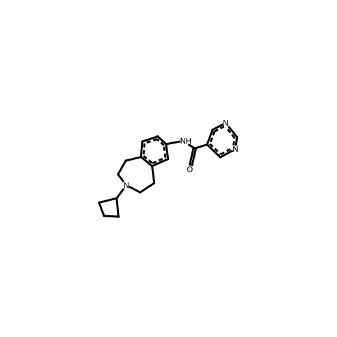 O=C(Nc1ccc2c(c1)CCN(C1CCC1)CC2)c1cncnc1